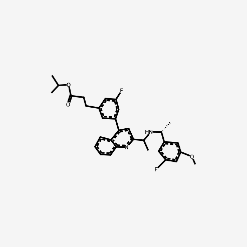 COc1cc(F)cc([C@@H](C)NC(C)c2cc(-c3cc(F)cc(CCC(=O)OC(C)C)c3)c3ccccc3n2)c1